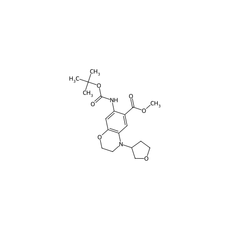 COC(=O)c1cc2c(cc1NC(=O)OC(C)(C)C)OCCN2C1CCOC1